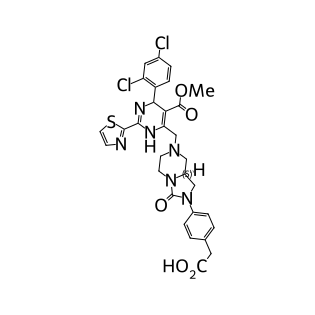 COC(=O)C1=C(CN2CCN3C(=O)N(c4ccc(CC(=O)O)cc4)C[C@@H]3C2)NC(c2nccs2)=NC1c1ccc(Cl)cc1Cl